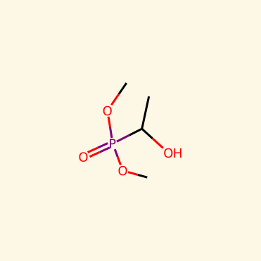 COP(=O)(OC)C(C)O